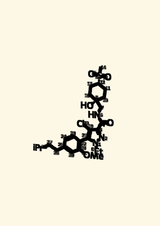 CCn1nc(C(=O)NC[C@]2(O)CC[C@@H](S(C)(=O)=O)CC2)c(Cl)c1-c1ccc(CCC(C)C)cc1OC